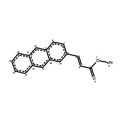 CCCOC(=O)C=Cc1ccc2cc3ccccc3cc2c1